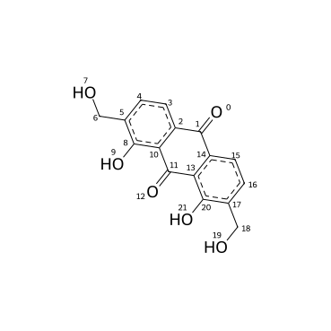 O=C1c2ccc(CO)c(O)c2C(=O)c2c1ccc(CO)c2O